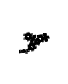 CCOC(=O)c1ccc(-c2cc3cc(S(C)(=O)=O)cnc3n2S(=O)(=O)c2ccccc2)nc1